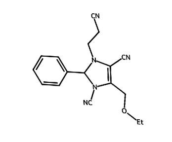 CCOCC1=C(C#N)N(CCC#N)C(c2ccccc2)N1C#N